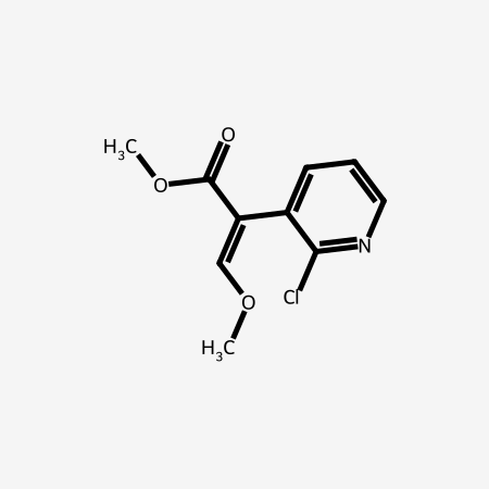 CO/C=C(/C(=O)OC)c1cccnc1Cl